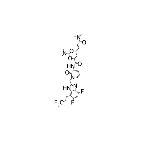 CN(C)C(=O)/C=C/CCC(OC(=O)N(C)C)C(=O)Nc1cccn(Cc2nc3c(F)cc(F)c(CCC(F)(F)F)c3[nH]2)c1=O